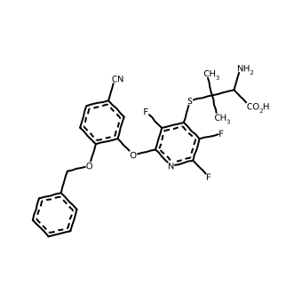 CC(C)(Sc1c(F)c(F)nc(Oc2cc(C#N)ccc2OCc2ccccc2)c1F)C(N)C(=O)O